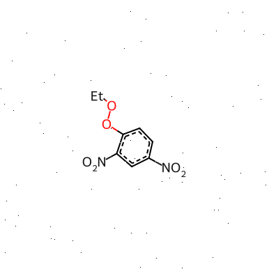 CCOOc1ccc([N+](=O)[O-])cc1[N+](=O)[O-]